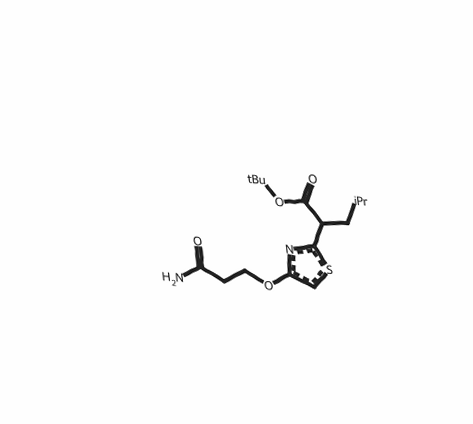 CC(C)CC(C(=O)OC(C)(C)C)c1nc(OCCC(N)=O)cs1